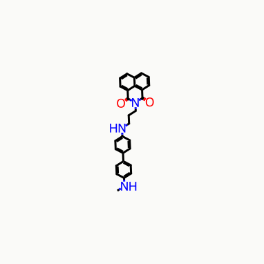 CNc1ccc(-c2ccc(NCCCN3C(=O)c4cccc5cccc(c45)C3=O)cc2)cc1